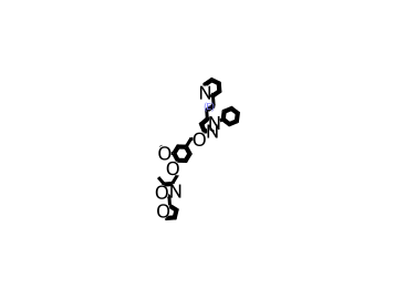 COc1cc(COc2cc(/C=C/c3ccccn3)n(-c3ccccc3)n2)ccc1OCc1nc(-c2ccco2)oc1C